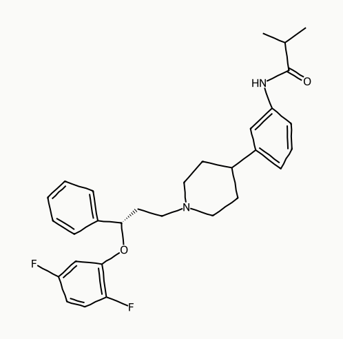 CC(C)C(=O)Nc1cccc(C2CCN(CC[C@H](Oc3cc(F)ccc3F)c3ccccc3)CC2)c1